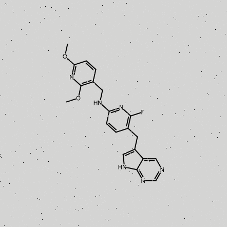 COc1ccc(CNc2ccc(Cc3c[nH]c4ncncc34)c(F)n2)c(OC)n1